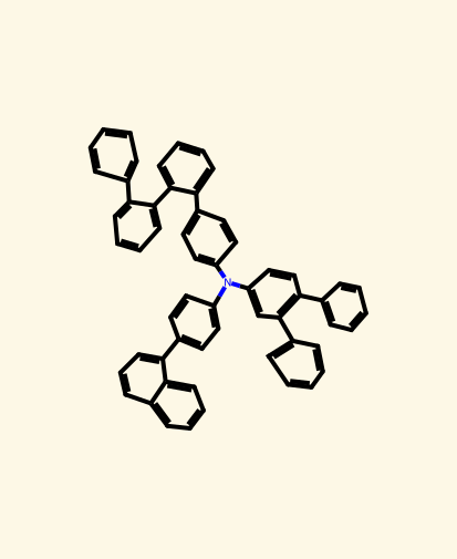 c1ccc(-c2ccc(N(c3ccc(-c4ccccc4-c4ccccc4-c4ccccc4)cc3)c3ccc(-c4cccc5ccccc45)cc3)cc2-c2ccccc2)cc1